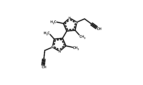 C#CCn1nc(C)c(-c2c(C)nn(CC#C)c2C)c1C